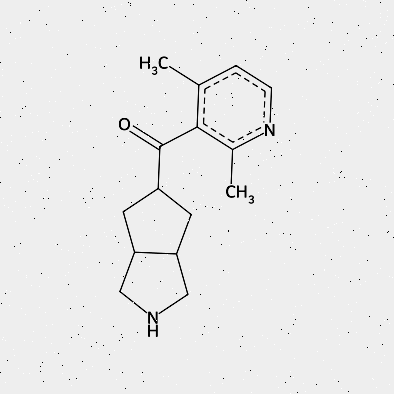 Cc1ccnc(C)c1C(=O)C1CC2CNCC2C1